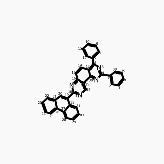 c1ccc(-c2nc(-c3ccccc3)c3ccc4nc(-c5cc6ccccc6c6ccccc56)ncc4c3n2)cc1